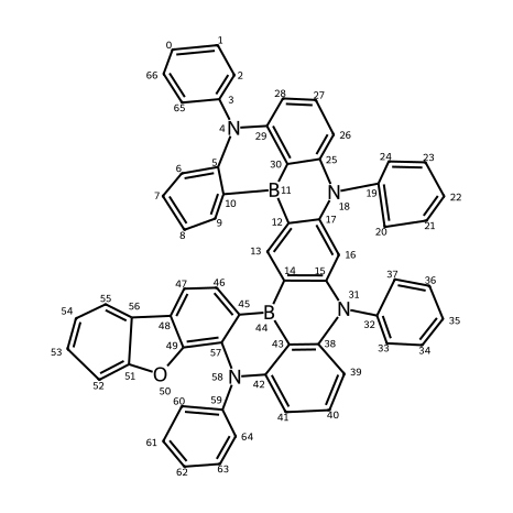 c1ccc(N2c3ccccc3B3c4cc5c(cc4N(c4ccccc4)c4cccc2c43)N(c2ccccc2)c2cccc3c2B5c2ccc4c(oc5ccccc54)c2N3c2ccccc2)cc1